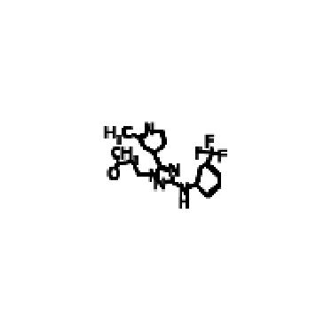 CC(=O)CCn1nc(Nc2cccc(C(F)(F)F)c2)nc1-c1ccnc(C)c1